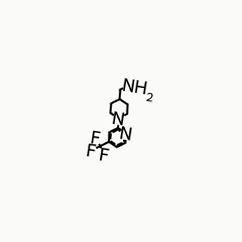 NCC1CCN(c2cc(C(F)(F)F)ccn2)CC1